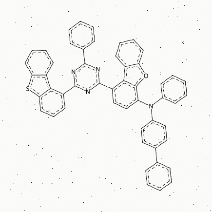 c1ccc(-c2ccc(N(c3ccccc3)c3ccc(-c4nc(-c5ccccc5)nc(-c5cccc6sc7ccccc7c56)n4)c4c3oc3ccccc34)cc2)cc1